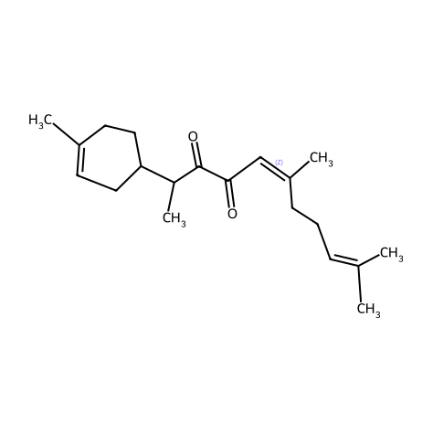 CC(C)=CCC/C(C)=C\C(=O)C(=O)C(C)C1CC=C(C)CC1